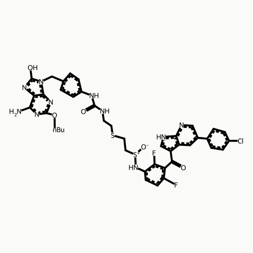 CCCCOc1nc(N)c2nc(O)n(Cc3ccc(NC(=O)NCCSCC[S+]([O-])Nc4ccc(F)c(C(=O)c5c[nH]c6ncc(-c7ccc(Cl)cc7)cc56)c4F)cc3)c2n1